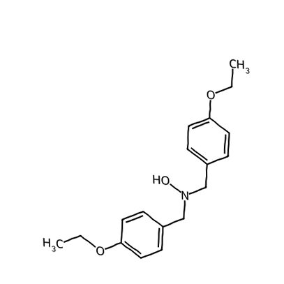 CCOc1ccc(CN(O)Cc2ccc(OCC)cc2)cc1